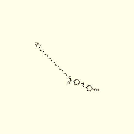 CCCCCCCCCCCCCCCCCCOC(=O)c1ccc(N=Cc2ccc(O)cc2)cc1